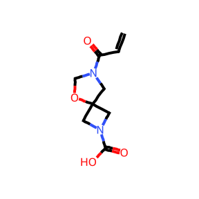 C=CC(=O)N1COC2(CN(C(=O)O)C2)C1